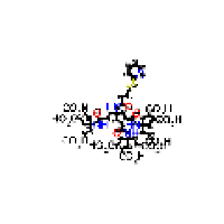 O=C(O)CCC(CCC(=O)O)(CCC(=O)O)NC(=O)CCC(CCC(=O)NC(CCC(=O)O)(CCC(=O)O)CCC(=O)O)(CCC(=O)NC(CCC(=O)O)(CCC(=O)O)CCC(=O)O)NC(=O)CCSSc1ccccn1